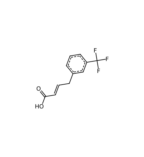 O=C(O)/C=C/Cc1cccc(C(F)(F)F)c1